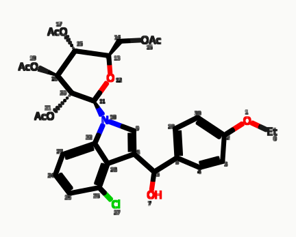 CCOc1ccc(C(O)c2cn([C@@H]3O[C@H](COC(C)=O)[C@@H](OC(C)=O)[C@H](OC(C)=O)[C@H]3OC(C)=O)c3cccc(Cl)c23)cc1